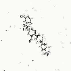 N#Cc1cc(NS(=O)(=O)c2cccc(Cl)c2)cnc1N1CCCN(c2ccc(C(F)(F)F)cn2)CC1